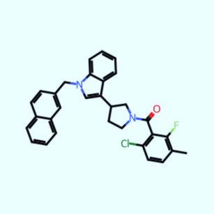 Cc1ccc(Cl)c(C(=O)N2CCC(c3cn(Cc4ccc5ccccc5c4)c4ccccc34)C2)c1F